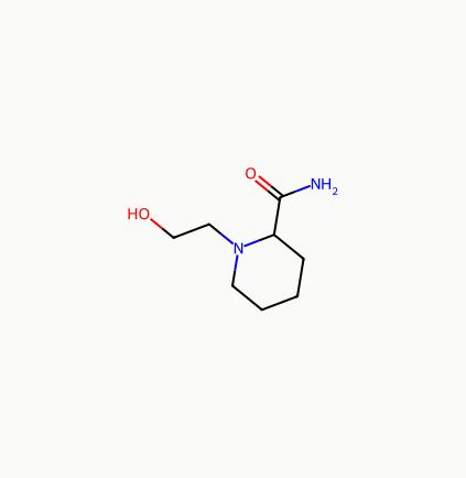 NC(=O)C1CCCCN1CCO